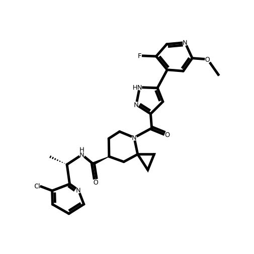 COc1cc(-c2cc(C(=O)N3CC[C@H](C(=O)N[C@@H](C)c4ncccc4Cl)CC34CC4)n[nH]2)c(F)cn1